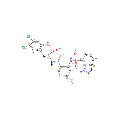 O=C(N[C@@H](Cc1ccc(Cl)c(Cl)c1)C(=O)O)c1ccc(Cl)cc1NS(=O)(=O)c1cccc2nsnc12